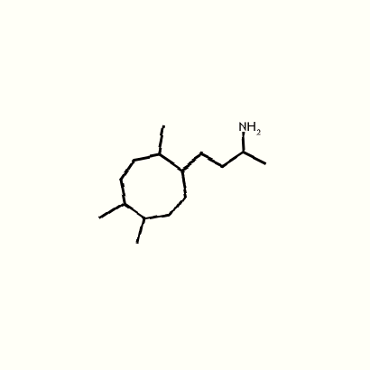 CC(N)CCC1CCC(C)C(C)CCC1C